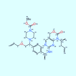 C=CCOCC(c1ccc([C@H](C)Nc2ncc3c(n2)N([C@@H](C)CC=C)C(=O)OC3)cc1)N1CCN(C(=O)OC(C)(C)C)CC1